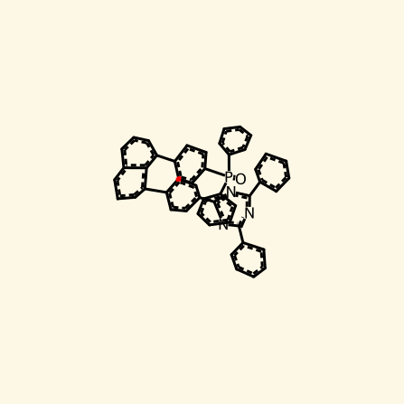 O=P(c1ccccc1)(c1ccccc1)c1ccc(-c2cccc3cccc(-c4ccc(-c5nc(-c6ccccc6)nc(-c6ccccc6)n5)cc4)c23)cc1